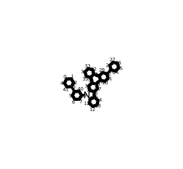 c1ccc(-c2cccc(-n3c4ccccc4c4cc5c6ccc(-c7ccccc7)cc6c6ccccc6c5cc43)c2)cc1